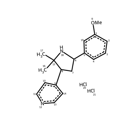 COc1cccc(C2CC(c3ccncc3)C(C)(C)N2)c1.Cl.Cl